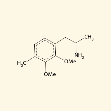 COc1c(C)ccc(CC(C)N)c1OC